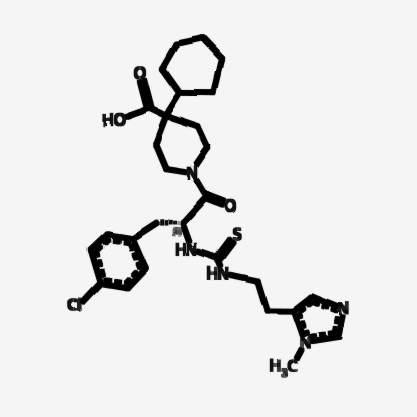 Cn1cncc1CCNC(=S)N[C@H](Cc1ccc(Cl)cc1)C(=O)N1CCC(C(=O)O)(C2CCCCC2)CC1